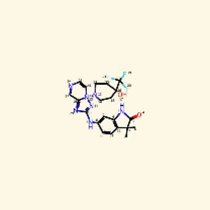 CC1(C)C(=O)Nc2cc(NC3=N[N+]4(N5CCC(O)(C(F)(F)F)CC5)C=CN=CC4=N3)ccc21